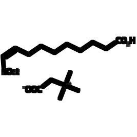 CCCCCCCC/C=C\CCCCCCCC(=O)O.C[N+](C)(C)CC(=O)[O-]